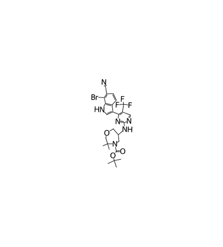 CC(C)(C)OC(=O)N1CC(Nc2ncc(C(F)(F)F)c(-c3c[nH]c4c(Br)c(C#N)ccc34)n2)COCC1(C)C